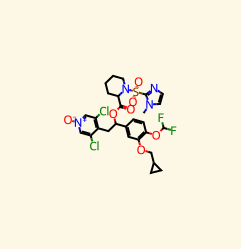 Cn1ccnc1S(=O)(=O)N1CCCCC1C(=O)OC(Cc1c(Cl)c[n+]([O-])cc1Cl)c1ccc(OC(F)F)c(OCC2CC2)c1